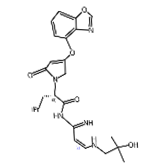 CC(C)C[C@@H](C(=O)NC(=N)/C=C\NCC(C)(C)O)N1CC(Oc2cccc3ocnc23)=CC1=O